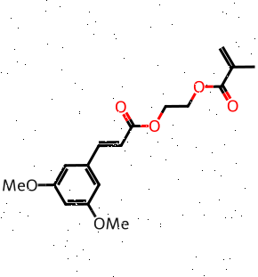 C=C(C)C(=O)OCCOC(=O)/C=C/c1cc(OC)cc(OC)c1